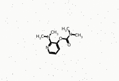 CN(C)C(=O)Oc1cccnc1N(C)C